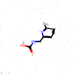 Cc1cccc(CNC(=O)O)n1